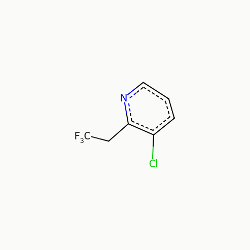 FC(F)(F)Cc1ncccc1Cl